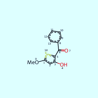 COc1cc(O)c(C(=O)c2ccccc2)s1